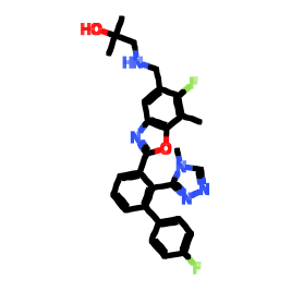 Cc1c(F)c(CNCC(C)(C)O)cc2nc(-c3cccc(-c4ccc(F)cc4)c3-c3nncn3C)oc12